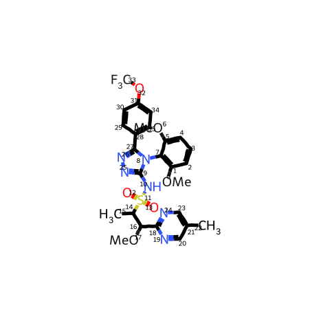 COc1cccc(OC)c1-n1c(NS(=O)(=O)C(C)C(OC)c2ncc(C)cn2)nnc1-c1ccc(OC(F)(F)F)cc1